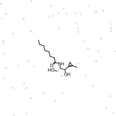 CCCCCCCC(=O)N[C@@H](CO)[C@H](O)C1=C(C)C1